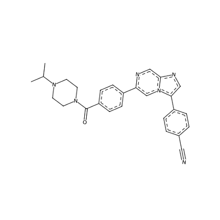 CC(C)N1CCN(C(=O)c2ccc(-c3cn4c(-c5ccc(C#N)cc5)cnc4cn3)cc2)CC1